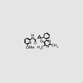 COc1cccc(NC(=O)[C@@H]2C[C@@]2(Oc2cnc(C)nc2C)C2C=CC=CC2)n1